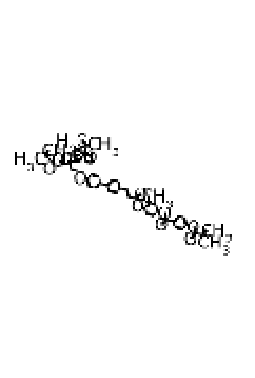 C=C(C)C(=O)OCC(CCCC)(CCOc1ccc(-c2ccc(/C=C/C(=O)Oc3ccc(OC(=O)c4ccc(OC(=O)C(=C)C)cc4)cc3C)cc2)cc1)COC(=O)C(=C)C